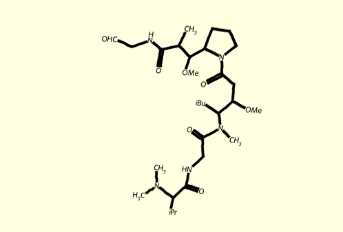 CCC(C)C(C(CC(=O)N1CCCC1C(OC)C(C)C(=O)NCC=O)OC)N(C)C(=O)CNC(=O)C(C(C)C)N(C)C